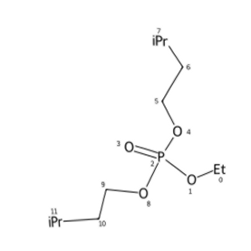 CCOP(=O)(OCCC(C)C)OCCC(C)C